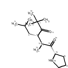 CC(C)C[C@H](C(=O)C(C)(C)C)N(C)C(=O)[C@@H]1CCCN1